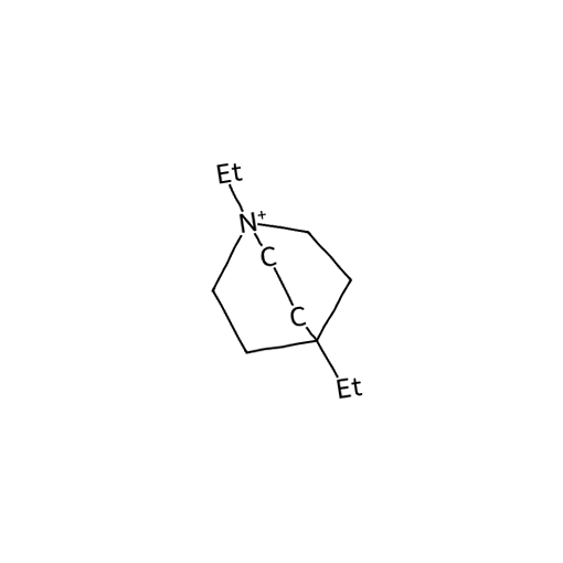 CCC12CC[N+](CC)(CC1)CC2